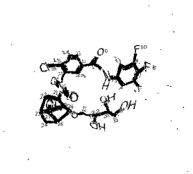 O=C(Nc1cc(F)c(F)c(F)c1)c1ccc(Cl)c(S(=O)(=O)C2CC3CC(C2)C3(O)COC[C@H](O)C(O)CO)c1